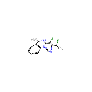 CC(F)c1ncnc(NC(C)c2ccccc2)c1Cl